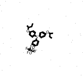 CCC(C)Oc1ccc([S+](c2ccccc2)c2ccc(OC(C)CC)cc2)cc1.O=S(=O)([O-])C(F)(F)F